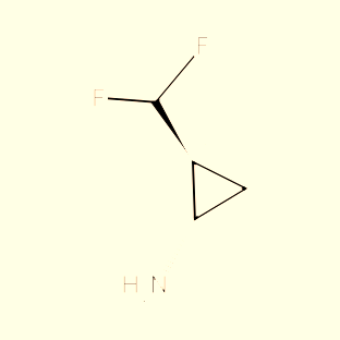 N[C@H]1C[C@@H]1C(F)F